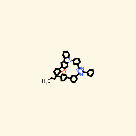 CCCCc1ccc(-c2cccc(-c3nc(-c4ccccc4)nc(-c4cccc(-n5c6ccccc6c6cc7c(cc65)oc5ccccc57)c4)n3)c2)cc1